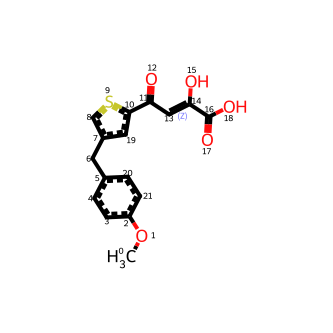 COc1ccc(Cc2csc(C(=O)/C=C(\O)C(=O)O)c2)cc1